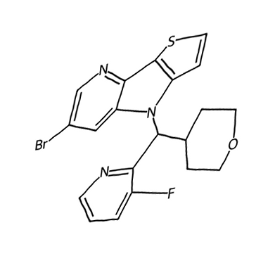 Fc1cccnc1C(C1CCOCC1)n1c2cc(Br)cnc2c2sccc21